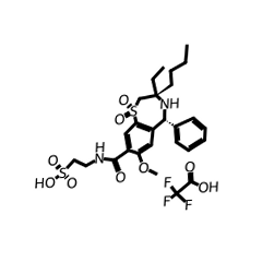 CCCC[C@]1(CC)CS(=O)(=O)c2cc(C(=O)NCCS(=O)(=O)O)c(OC)cc2[C@@H](c2ccccc2)N1.O=C(O)C(F)(F)F